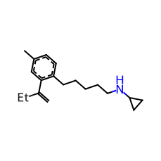 C=C(CC)c1cc(C)ccc1CCCCCNC1CC1